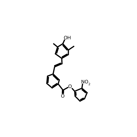 Cc1cc(C=Cc2cccc(C(=O)Oc3ccccc3[N+](=O)[O-])c2)cc(C)c1O